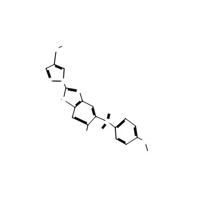 O=C(O)Oc1cnn(-c2nc3cc(S(=O)(=O)c4ccc(OC(F)(F)F)cc4)c(Cl)cc3[nH]2)c1